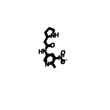 Cc1ncc(NC(=O)CC2CCCN2)cc1[N+](=O)[O-]